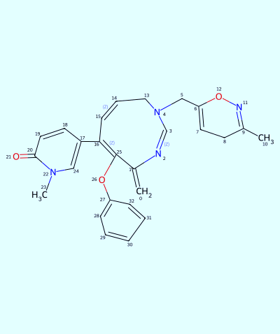 C=C1/N=C\N(CC2=CCC(C)=NO2)C/C=C\C(c2ccc(=O)n(C)c2)=C/1Oc1ccccc1